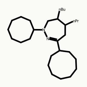 CCCCC1CN(C2CCCCCCC2)N=C(C2CCCCCCCC2)CC1CCC